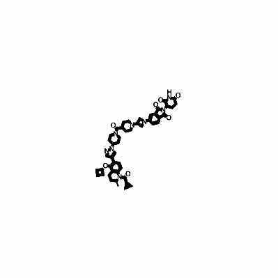 C[C@H]1CCc2c(ccc(-c3cnn(C4CCN(C(=O)C5CCN(C6CN(c7ccc8c(c7)C(=O)N(C7CCC(=O)NC7=O)C8=O)C6)CC5)CC4)c3)c2OC2CCC2)N1C(=O)C1CC1